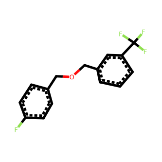 Fc1ccc(COCc2cccc(C(F)(F)F)c2)cc1